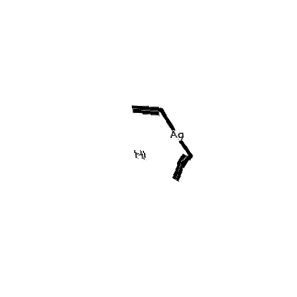 C=[CH][Ag][CH]=C.I